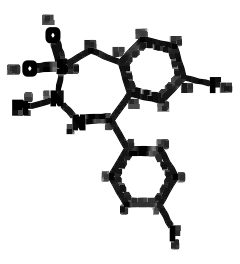 CCN1N=C(c2ccc(F)cc2)c2cc(F)ccc2CS1(=O)=O